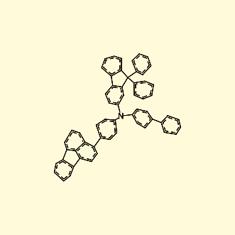 c1ccc(-c2ccc(N(c3ccc(-c4ccc5c6c(cccc46)-c4ccccc4-5)cc3)c3ccc4c(c3)C(c3ccccc3)(c3ccccc3)c3ccccc3-4)cc2)cc1